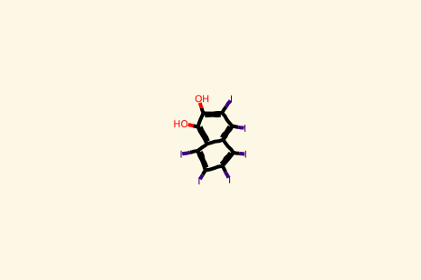 Oc1c(I)c(I)c2c(I)c(I)c(I)c(I)c2c1O